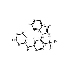 FC(F)(F)c1cnc(NC2CCCNC2)nc1-n1cnc2ccccc21